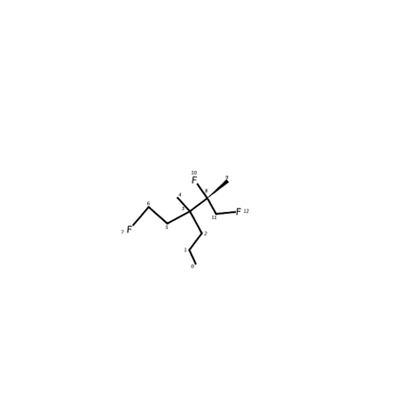 CCCC(C)(CCF)[C@](C)(F)CF